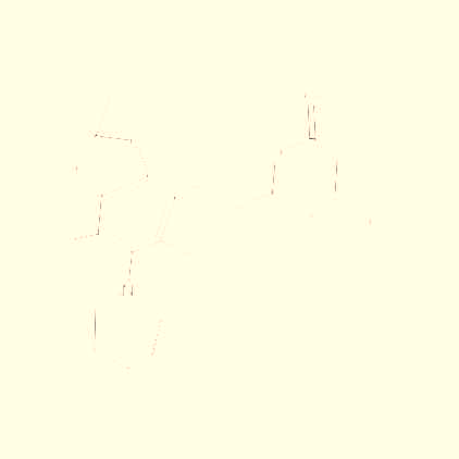 Cc1c(CCC2CC(O)CC(=O)O2)c2c(c(C)c1N1CCCCC1)CC(C)(C)O2